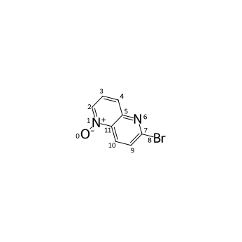 [O-][n+]1cccc2nc(Br)ccc21